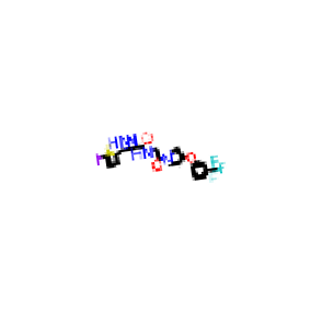 O=C(NCC(=O)N1CCC(Oc2cccc(C(F)(F)F)c2)CC1)c1cc(-c2ccc(I)s2)[nH]n1